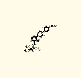 COc1ccc(N2CCN(c3cccc(CO[Si]4(C)CC4(C)C)c3F)CC2)cc1